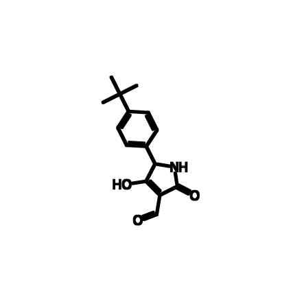 CC(C)(C)c1ccc(C2NC(=O)C(C=O)=C2O)cc1